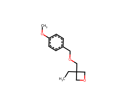 CCC1(COCc2ccc(OC)cc2)COC1